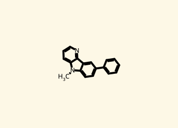 Cn1c2ccc(-c3ccccc3)cc2c2ncccc21